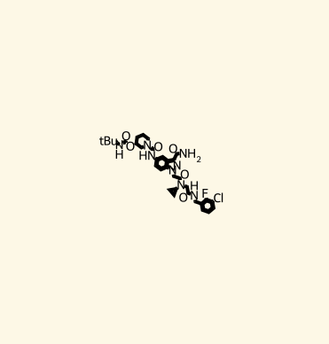 CC(C)(C)NC(=O)O[C@H]1CCCN(C(=O)Nc2ccc3c(c2)c(C(N)=O)nn3CC(=O)N(CC(=O)NCc2cccc(Cl)c2F)C2CC2)C1